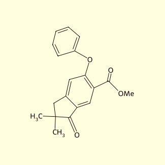 COC(=O)c1cc2c(cc1Oc1ccccc1)CC(C)(C)C2=O